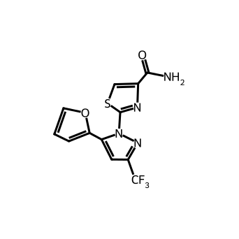 NC(=O)c1csc(-n2nc(C(F)(F)F)cc2-c2ccco2)n1